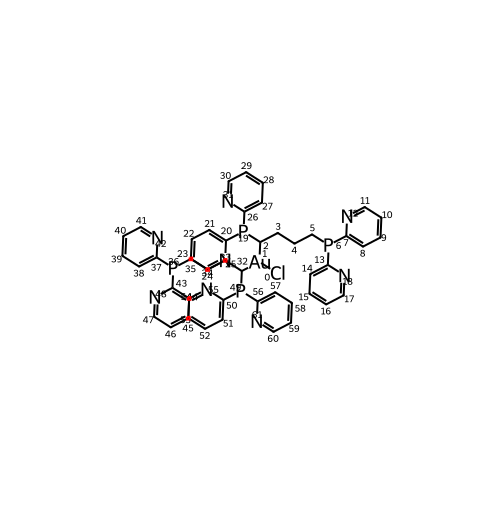 [Cl][Au]([CH](CCCP(c1ccccn1)c1ccccn1)P(c1ccccn1)c1ccccn1)[CH](CCCP(c1ccccn1)c1ccccn1)P(c1ccccn1)c1ccccn1